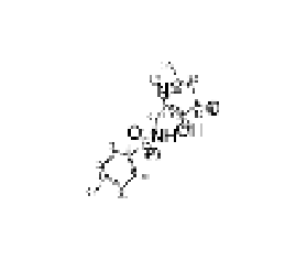 Cc1ccc(S(=O)(=O)NCc2c(O)c(=O)cc(C)n2C)cc1